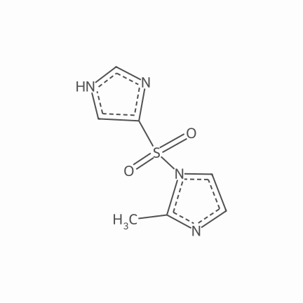 Cc1nccn1S(=O)(=O)c1c[nH]cn1